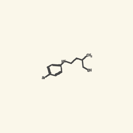 CC(CO)CCNc1ccc(Br)cc1